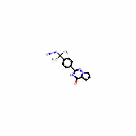 CC(C)(N=[N+]=[N-])c1ccc(-c2nn3cccc3c(=O)[nH]2)cc1